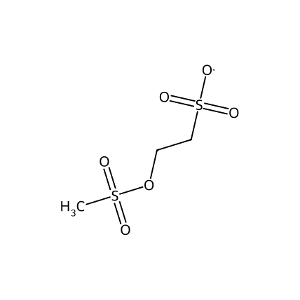 CS(=O)(=O)OCCS([O])(=O)=O